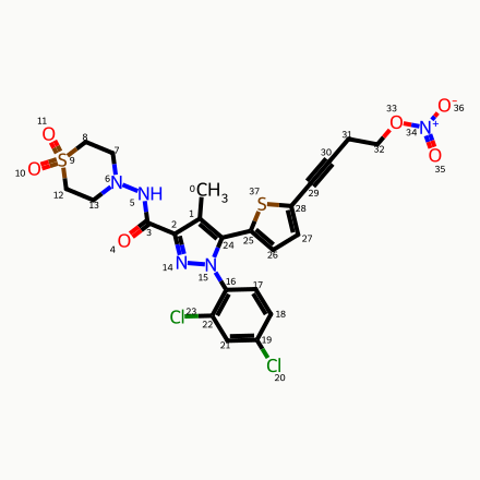 Cc1c(C(=O)NN2CCS(=O)(=O)CC2)nn(-c2ccc(Cl)cc2Cl)c1-c1ccc(C#CCCO[N+](=O)[O-])s1